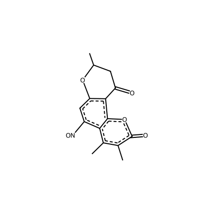 Cc1c(C)c2c(N=O)cc3c(c2oc1=O)C(=O)CC(C)O3